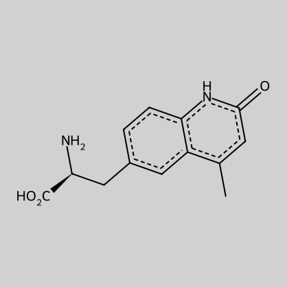 Cc1cc(=O)[nH]c2ccc(C[C@H](N)C(=O)O)cc12